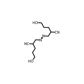 N#CC(CCCO)CN=NCC(C#N)CCCO